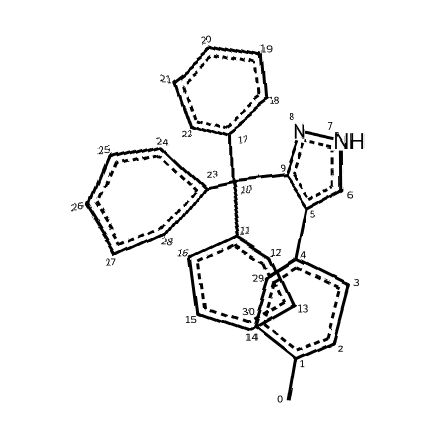 Cc1ccc(-c2c[nH]nc2C(c2ccccc2)(c2ccccc2)c2ccccc2)cc1